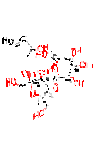 CC(O)C(=O)O.OC[C@H]1O[C@@H](O[C@@H]2[C@@H](CO)O[C@](O)(CO)[C@H]2O)[C@H](O)[C@@H](O)[C@H]1O